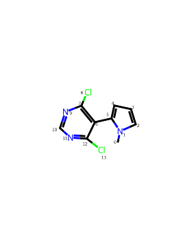 Cn1cccc1-c1c(Cl)ncnc1Cl